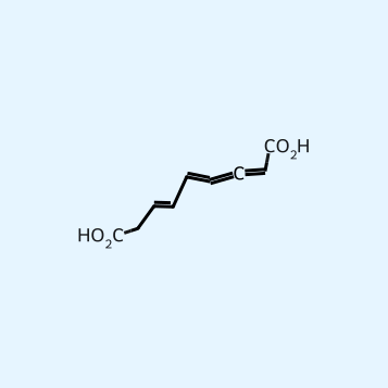 O=C(O)C=C=C=CC=CCC(=O)O